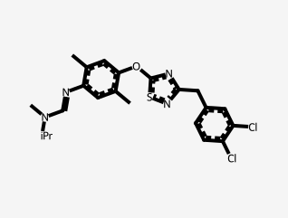 Cc1cc(Oc2nc(Cc3ccc(Cl)c(Cl)c3)ns2)c(C)cc1N=CN(C)C(C)C